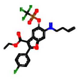 C=CCCNc1cc2oc(-c3ccc(F)cc3)c(C(=O)OCC)c2cc1OS(=O)(=O)C(F)(F)F